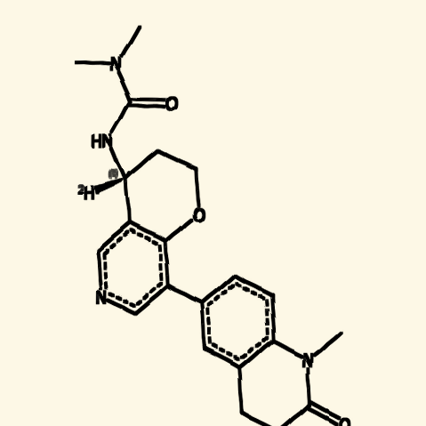 [2H][C@@]1(NC(=O)N(C)C)CCOc2c(-c3ccc4c(c3)CCC(=O)N4C)cncc21